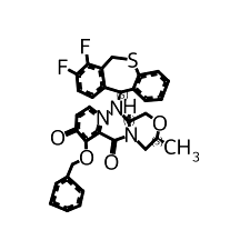 C[C@H]1CN2C(=O)c3c(OCc4ccccc4)c(=O)ccn3N([C@@H]3c4ccccc4SCc4c3ccc(F)c4F)[C@@H]2CO1